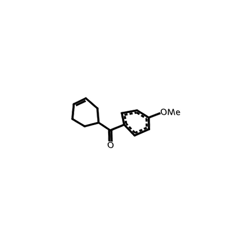 COc1ccc(C(=O)C2CC=CCC2)cc1